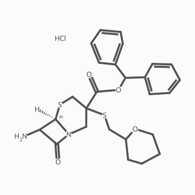 Cl.NC1C(=O)N2CC(SCC3CCCCO3)(C(=O)OC(c3ccccc3)c3ccccc3)CS[C@H]12